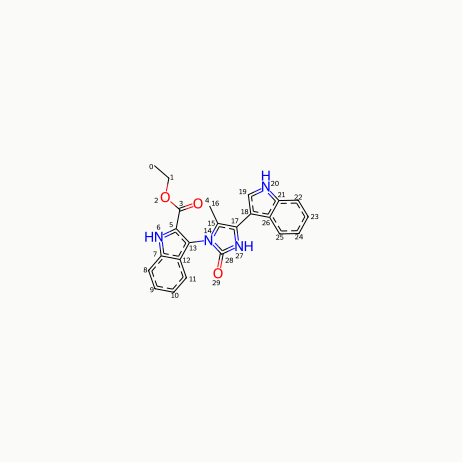 CCOC(=O)c1[nH]c2ccccc2c1-n1c(C)c(-c2c[nH]c3ccccc23)[nH]c1=O